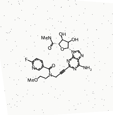 CNC(=O)[C@H]1O[C@@H](n2cnc3c(N)nc(C#CCN(CCOC)C(=O)c4ccc(F)nc4)nc32)C(O)[C@@H]1O